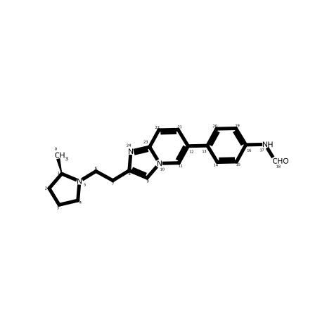 C[C@@H]1CCCN1CCc1cn2cc(-c3ccc(NC=O)cc3)ccc2n1